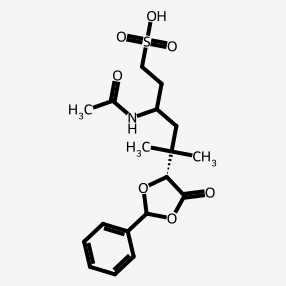 CC(=O)NC(CCS(=O)(=O)O)CC(C)(C)[C@H]1OC(c2ccccc2)OC1=O